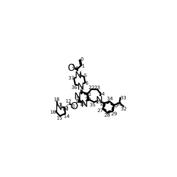 C=CC(=O)N1CCN(c2nc(OC[C@@H]3CCCN3C)nc3c2CCCN(c2cccc(C(C)C)c2)C3)CC1